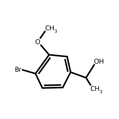 COc1cc(C(C)O)ccc1Br